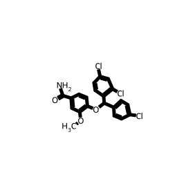 COc1cc(C(N)=O)ccc1OC(c1ccc(Cl)cc1)c1ccc(Cl)cc1Cl